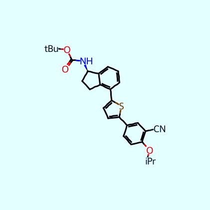 CC(C)Oc1ccc(-c2ccc(-c3cccc4c3CC[C@H]4NC(=O)OC(C)(C)C)s2)cc1C#N